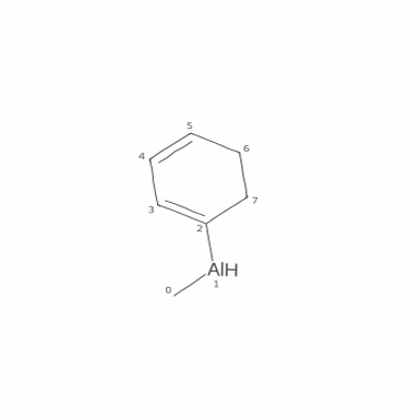 [CH3][AlH][C]1=CC=CCC1